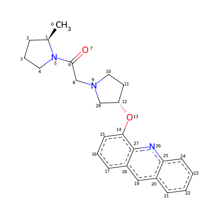 C[C@@H]1CCCN1C(=O)CN1CC[C@H](Oc2cccc3cc4ccccc4nc23)C1